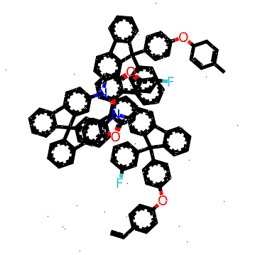 C=Cc1ccc(Oc2ccc(C3(c4cccc(F)c4)c4ccccc4-c4ccc(N(c5ccc6c(c5)C5(c7ccccc7-6)c6ccccc6-c6ccc(N(c7ccc8c(c7)C(c7ccc(OC9C=CC(C)=CC9)cc7)(c7cccc(F)c7)c7ccccc7-8)c7cccc8oc9ccccc9c78)cc65)c5cccc6oc7ccccc7c56)cc43)cc2)cc1